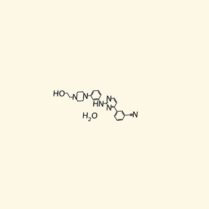 N#Cc1cccc(-c2ccnc(Nc3cccc(N4CCN(CCO)CC4)c3)n2)c1.O